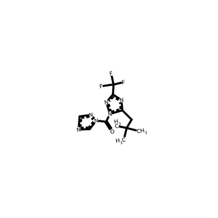 CC(C)(C)Cc1nc(C(F)(F)F)nn1C(=O)n1cncn1